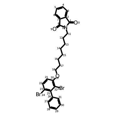 O=C1c2ccccc2C(=O)N1CCCCCCCCOc1ccc(Br)c(-c2ccccc2)c1Br